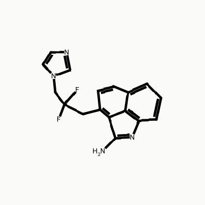 NC1=Nc2cccc3ccc(CC(F)(F)Cn4ccnc4)c1c23